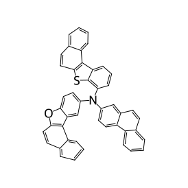 c1ccc2c(c1)ccc1cc(N(c3ccc4oc5ccc6ccccc6c5c4c3)c3cccc4c3sc3ccc5ccccc5c34)ccc12